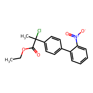 CCOC(=O)C(C)(Cl)c1ccc(-c2ccccc2[N+](=O)[O-])cc1